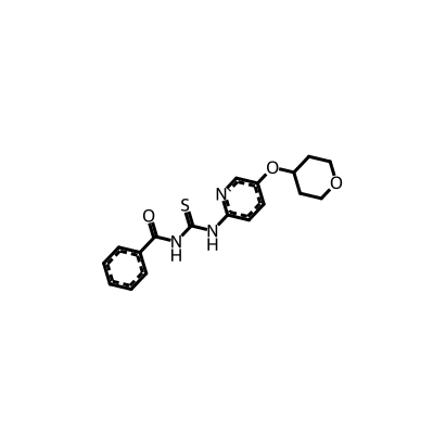 O=C(NC(=S)Nc1ccc(OC2CCOCC2)cn1)c1ccccc1